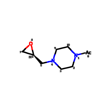 CC(=O)N1CCN(C[C@H]2CO2)CC1